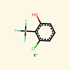 Oc1cccc(Cl)c1[B-](F)(F)F.[K+]